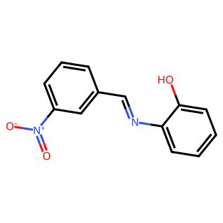 O=[N+]([O-])c1cccc(C=Nc2ccccc2O)c1